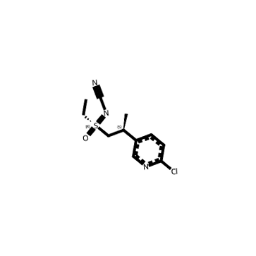 CC[S@@](=O)(C[C@@H](C)c1ccc(Cl)nc1)=NC#N